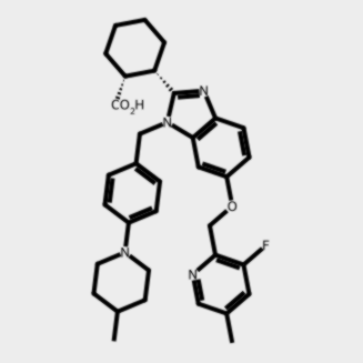 Cc1cnc(COc2ccc3nc([C@H]4CCCC[C@H]4C(=O)O)n(Cc4ccc(N5CCC(C)CC5)cc4)c3c2)c(F)c1